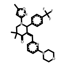 Cc1cc(N2CC(C)(C)C(=O)C(=Cc3cccc(N4CCOCC4)n3)C2c2ccc(C(F)(F)F)cc2)no1